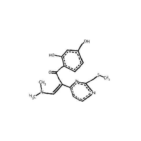 CSc1nccc(/C(=C/N(C)C)C(=O)c2ccc(O)cc2O)n1